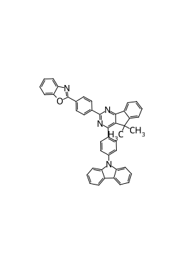 CC1(C)c2ccccc2-c2nc(-c3ccc(-c4nc5ccccc5o4)cc3)nc(-c3ccc(-n4c5ccccc5c5ccccc54)cc3)c21